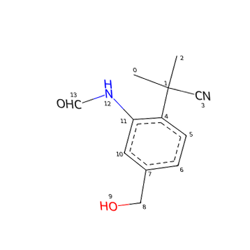 CC(C)(C#N)c1ccc(CO)cc1NC=O